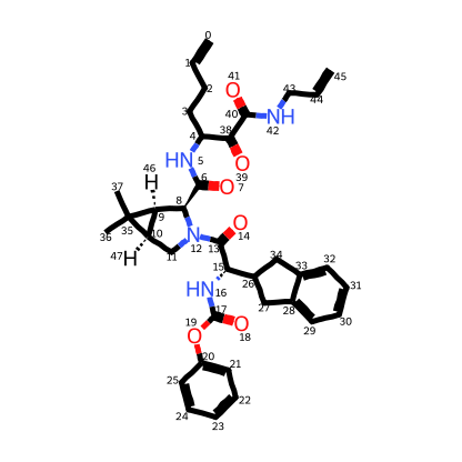 C=CCCC(NC(=O)[C@@H]1[C@H]2[C@@H](CN1C(=O)[C@@H](NC(=O)Oc1ccccc1)C1Cc3ccccc3C1)C2(C)C)C(=O)C(=O)NCC=C